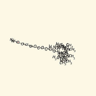 CN(CC(=O)NCCOCCOCCOCCOCCOCCOCCOCCOCCOCCOCCN=[N+]=[N-])C(=O)CN(C)C(=O)CN(C)C(=O)CN(C)C(=O)CN(C)C(=O)CN(C)C(=O)CN(C)C(=O)CN(C)C(=O)CN(C)C(=O)CN(C)C(=O)CCN